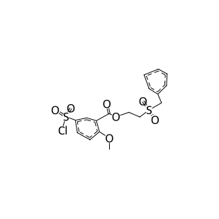 COc1ccc(S(=O)(=O)Cl)cc1C(=O)OCCS(=O)(=O)Cc1ccccc1